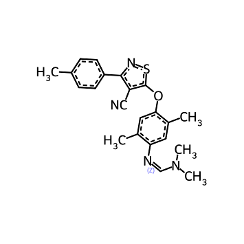 Cc1ccc(-c2nsc(Oc3cc(C)c(/N=C\N(C)C)cc3C)c2C#N)cc1